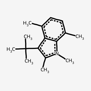 Cc1ccc(C)c2c1c(C(C)(C)C)c(C)n2C